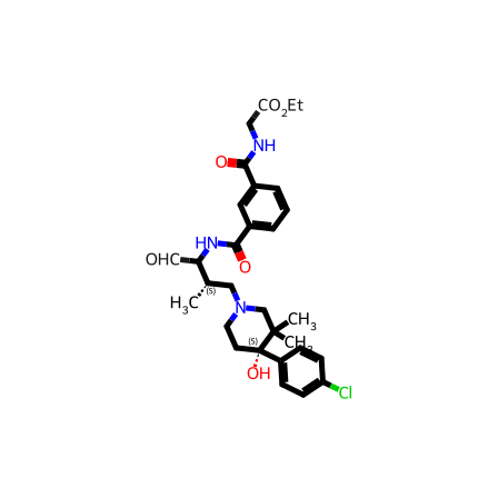 CCOC(=O)CNC(=O)c1cccc(C(=O)NC(C=O)[C@@H](C)CN2CC[C@](O)(c3ccc(Cl)cc3)C(C)(C)C2)c1